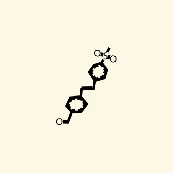 CS(=O)(=O)c1ccc(C=Cc2ccc(C=O)cc2)cc1